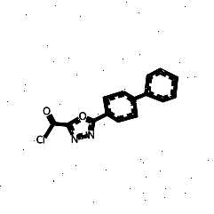 O=C(Cl)c1nnc(-c2ccc(-c3ccccc3)cc2)o1